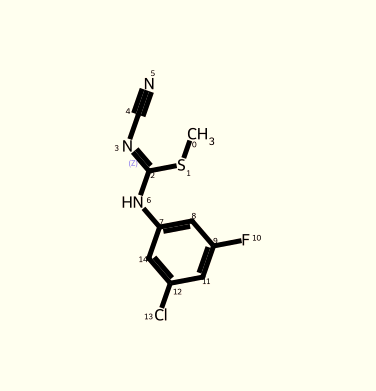 CS/C(=N\C#N)Nc1cc(F)cc(Cl)c1